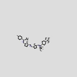 [C-]#[N+]/C(=C\c1ccc(/C=C/c2ccc(/C=C(\C#N)c3ccc(C)cc3)s2)s1)c1ccc(C(F)(F)F)cc1